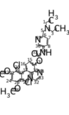 CCN(CC)Cc1ccc(NC(=O)Oc2ccc(-c3c(Cl)c(OC)cc(OC)c3Cl)c3nccnc23)cn1